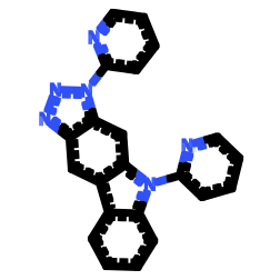 c1ccc(-n2nnc3cc4c5ccccc5n(-c5ccccn5)c4cc32)nc1